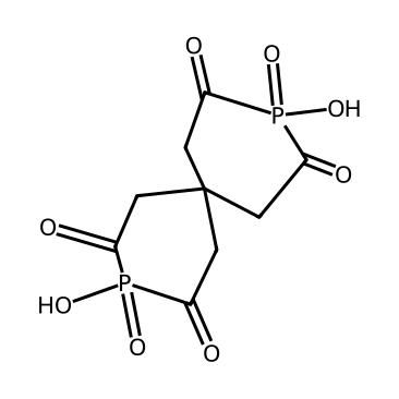 O=C1CC2(CC(=O)P1(=O)O)CC(=O)P(=O)(O)C(=O)C2